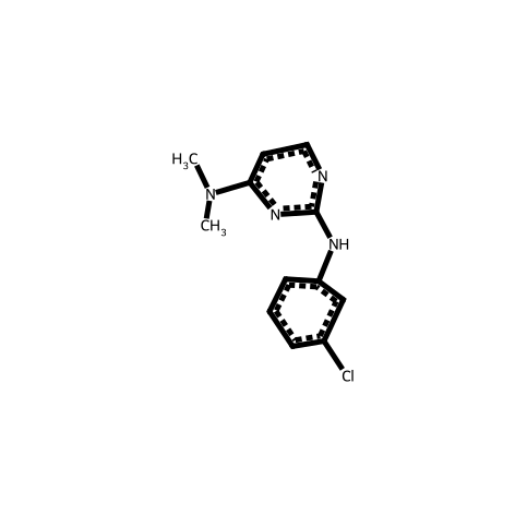 CN(C)c1ccnc(Nc2cccc(Cl)c2)n1